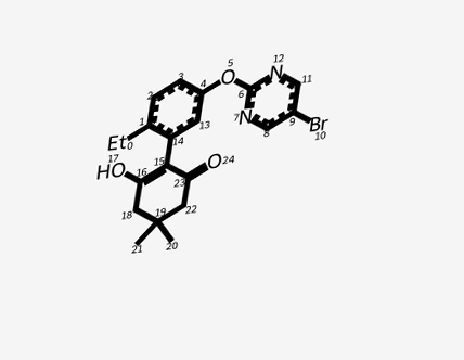 CCc1ccc(Oc2ncc(Br)cn2)cc1C1=C(O)CC(C)(C)CC1=O